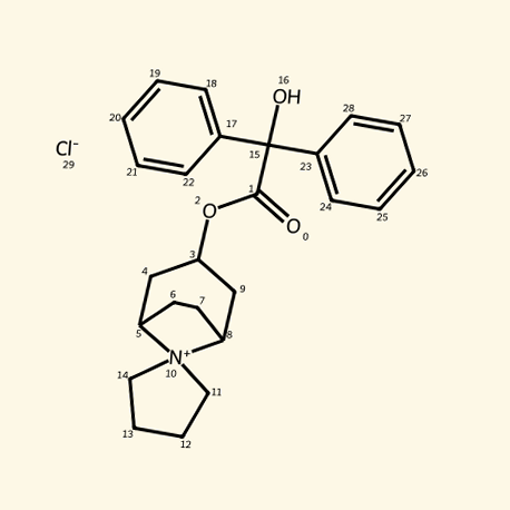 O=C(OC1CC2CCC(C1)[N+]21CCCC1)C(O)(c1ccccc1)c1ccccc1.[Cl-]